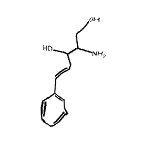 NC(CO)C(O)C=Cc1ccccc1